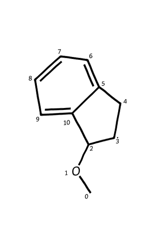 COC1[CH]Cc2ccccc21